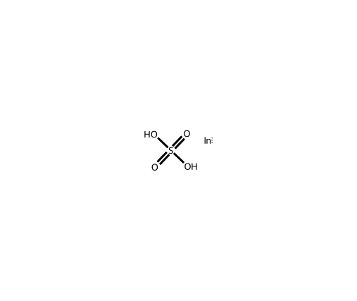 O=S(=O)(O)O.[In]